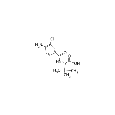 CC(C)(C)[C@H](NC(=O)c1ccc(N)c(Cl)c1)C(=O)O